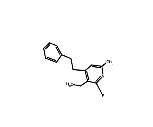 CCc1c(CCc2ccccc2)cc(C)nc1F